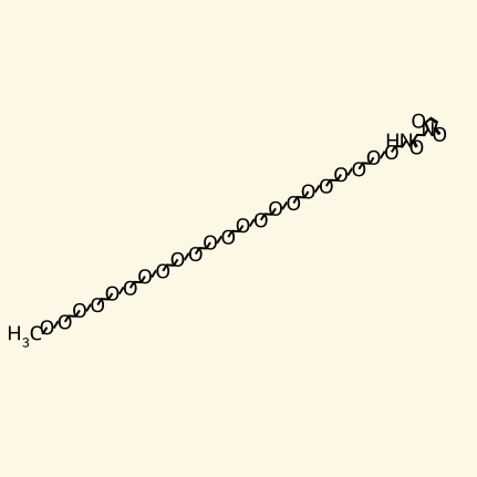 CCOCCOCCOCCOCCOCCOCCOCCOCCOCCOCCOCCOCCOCCOCCOCCOCCOCCOCCOCCOCCOCCOCCNC(=O)CCN1C(=O)C=CC1=O